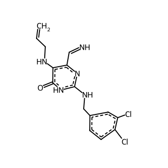 C=CCNc1c(C=N)nc(NCc2ccc(Cl)c(Cl)c2)[nH]c1=O